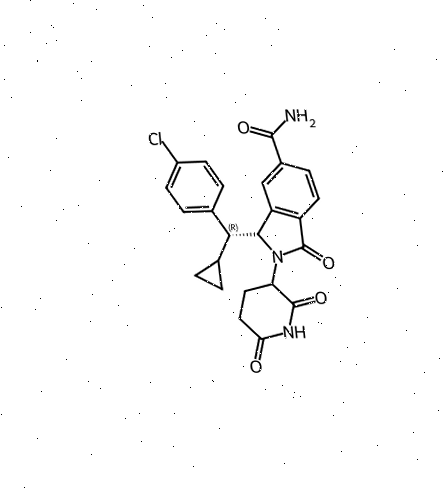 NC(=O)c1ccc2c(c1)C([C@@H](c1ccc(Cl)cc1)C1CC1)N(C1CCC(=O)NC1=O)C2=O